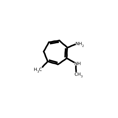 CNC1=C(N)C=CCC(C)=C1